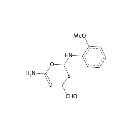 COc1ccccc1NC(OC(N)=O)SCC=O